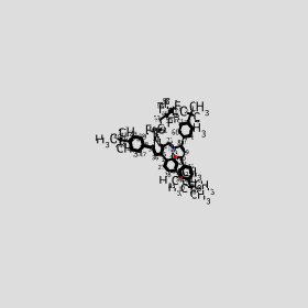 CC(C)(C)c1ccc(C2=CC(c3ccc(C(C)(C)C)cc3)=N/C2=C\c2c(-c3ccc(C(C)(C)C)cc3)cc(-c3ccc(C(C)(C)C)cc3)n2B(F)OCC(F)(F)C(F)(F)F)cc1